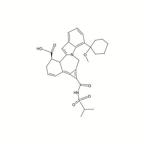 COC1(c2cccc3cc4n(c23)CC2=C(C(=O)NS(=O)(=O)C(C)C)C2=C2C=CC[C@@H](C(=O)O)C24)CCCCC1